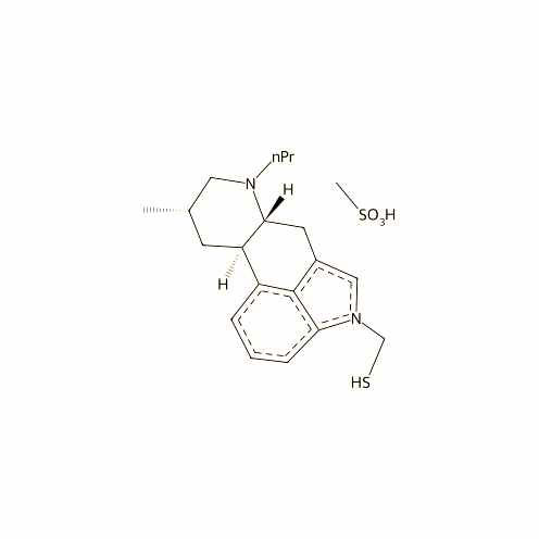 CCCN1C[C@@H](C)C[C@@H]2c3cccc4c3c(cn4CS)C[C@H]21.CS(=O)(=O)O